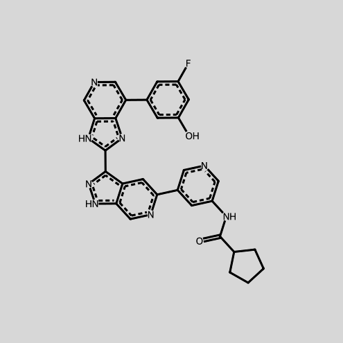 O=C(Nc1cncc(-c2cc3c(-c4nc5c(-c6cc(O)cc(F)c6)cncc5[nH]4)n[nH]c3cn2)c1)C1CCCC1